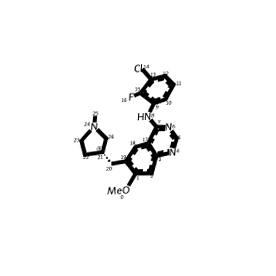 COc1cc2ncnc(Nc3cccc(Cl)c3F)c2cc1C[C@@H]1CCN(C)C1